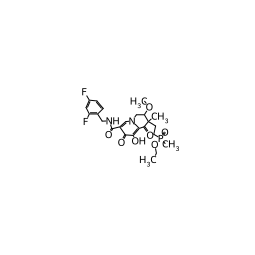 CCOP(C)(=O)CCC1(C)C(=O)c2c(O)c(=O)c(C(=O)NCc3ccc(F)cc3F)cn2CC1OC